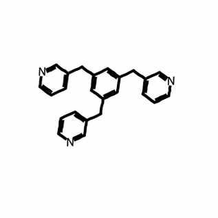 c1cncc(Cc2cc(Cc3cccnc3)cc(Cc3cccnc3)c2)c1